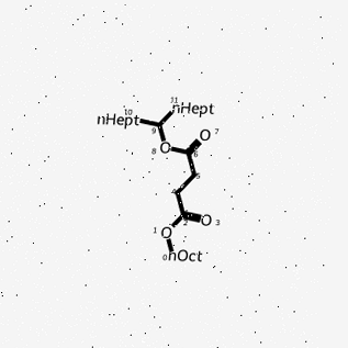 CCCCCCCCOC(=O)CCC(=O)OC(CCCCCCC)CCCCCCC